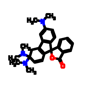 CN(C)c1ccc2c(c1)C1=C(C=CC(N(C)C)(N(C)C)C1)C21OC(=O)c2ccccc21